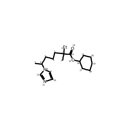 CCC(C)(CCCC(C)n1ccnc1)C(=O)OC1CCCCC1